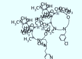 CO[C@]1(C)C[C@@H](CC[C@]2(C)C(=O)OCC3(CCN(CCc4cccnc4)CC3)N(C)C[C@H](C)C[C@@](C)(OC)[C@H](O[C@@H]3O[C@H](C)C[C@H](N(C)C)[C@H]3O)[C@@H](C)C2=O)CN(C)CCN(Cc2cccc(Cl)c2)CCCOC(=O)C(C)(C)C(=O)[C@H](C)[C@H]1O[C@@H]1O[C@H](C)C[C@H](N(C)C)[C@H]1O